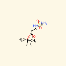 CC(C)(C)OC(=O)CCNS(N)(=O)=O